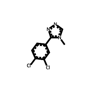 Cn1cnnc1-c1ccc(Cl)c(Cl)c1